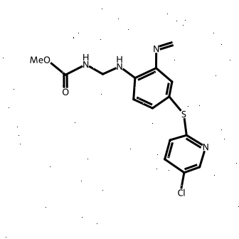 C=Nc1cc(Sc2ccc(Cl)cn2)ccc1NCNC(=O)OC